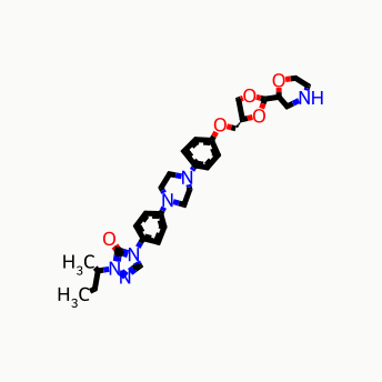 CCC(C)n1ncn(-c2ccc(N3CCN(c4ccc(OC[C@@H]5COC(C6CNCCO6)O5)cc4)CC3)cc2)c1=O